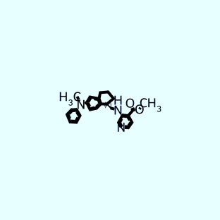 COC(=O)c1ccncc1NC[C@@H]1CCCc2cc(N(C)c3ccccc3)ccc21